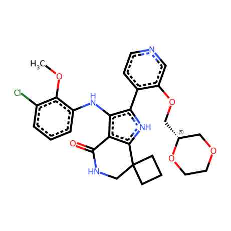 COc1c(Cl)cccc1Nc1c(-c2ccncc2OC[C@@H]2COCCO2)[nH]c2c1C(=O)NCC21CCC1